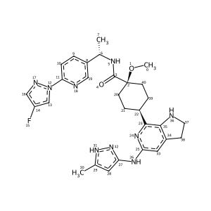 CO[C@]1(C(=O)N[C@@H](C)c2ccc(-n3cc(F)cn3)nc2)CC[C@H](c2nc(Nc3cc(C)[nH]n3)cc3c2NCC3)CC1